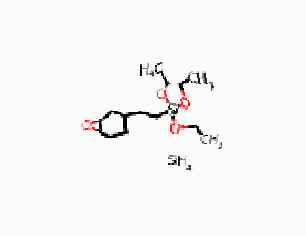 CCO[Si](CCC1CCC2OC2C1)(OCC)OCC.[SiH4]